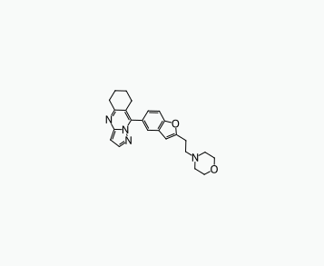 c1cc2nc3c(c(-c4ccc5oc(CCN6CCOCC6)cc5c4)n2n1)CCCC3